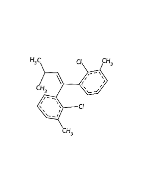 Cc1cccc(C(=CC(C)C)c2cccc(C)c2Cl)c1Cl